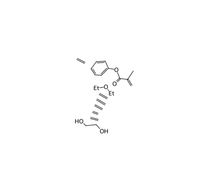 C=C.C=C.C=C.C=C.C=C.C=C.C=C(C)C(=O)Oc1ccccc1.CCOCC.OCCO